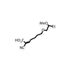 CCC(COCCCCC=C(C#N)C(=O)O)OC